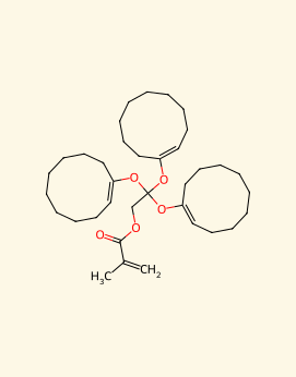 C=C(C)C(=O)OCC(OC1=CCCCCCCCC1)(OC1=CCCCCCCCC1)OC1=CCCCCCCCC1